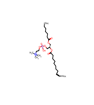 CCCCCC/C=C\CCCCCCCC(=O)O[C@H](COC(=O)CCCCCCCCCCCCCCC)COP(=O)(O)OCC[N+](C)(C)C